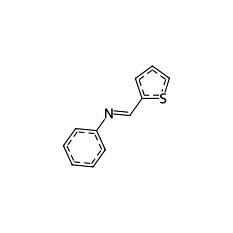 C(=Nc1ccccc1)c1cccs1